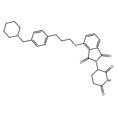 O=C1CCC(N2C(=O)c3cccc(SCCCc4ccc(CN5CCCCC5)cc4)c3C2=O)C(=O)N1